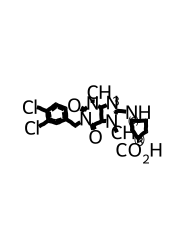 CN1C(=O)N(Cc2ccc(Cl)c(Cl)c2)C(=O)C2C1N=C(N[C@H]1CC[C@@H](C(=O)O)C1)N2C